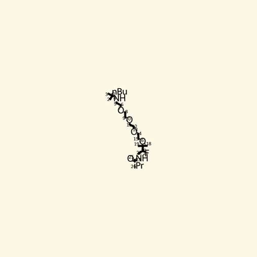 CCCCC(C)(C)NCCOCCOCCOCCOC(C)(C)C(F)CNC(=O)C(C)C